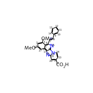 COc1cc(OC)c2c(/C=C/c3ccccc3)nc3c(nc4cc(C(=O)O)ccn43)c2c1